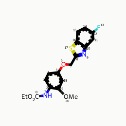 CCOC(=O)Nc1ccc(OCc2nc3cc(F)ccc3s2)cc1OC